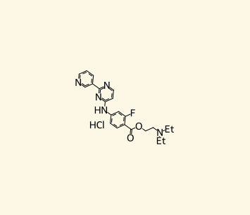 CCN(CC)CCOC(=O)c1ccc(Nc2ccnc(-c3cccnc3)n2)cc1F.Cl